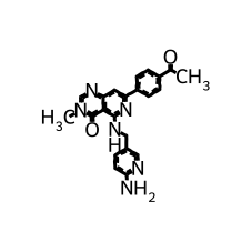 CC(=O)c1ccc(-c2cc3ncn(C)c(=O)c3c(NCc3ccc(N)nc3)n2)cc1